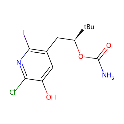 CC(C)(C)[C@H](Cc1cc(O)c(Cl)nc1I)OC(N)=O